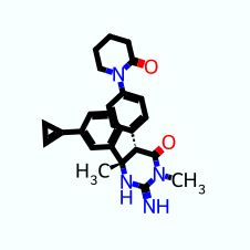 CN1C(=N)N[C@](C)(c2cccc(C3=CC3)c2)[C@H](c2ccc(N3CCCCC3=O)cc2)C1=O